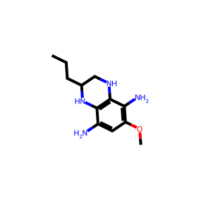 CCCC1CNc2c(N)c(OC)cc(N)c2N1